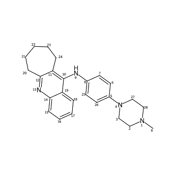 CN1CCN(c2ccc(Nc3c4c(nc5ccccc35)CCCCC4)cc2)CC1